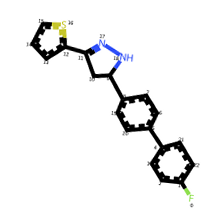 Fc1ccc(-c2ccc(C3CC(c4cccs4)=NN3)cc2)cc1